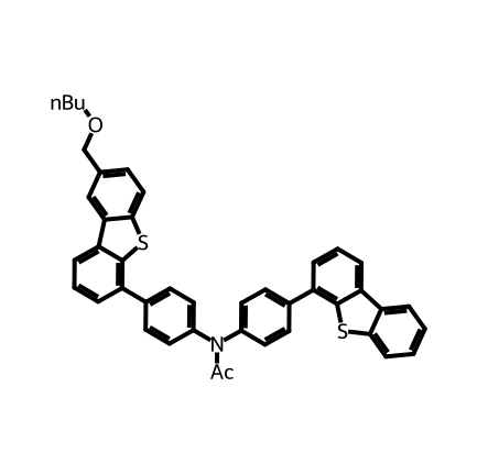 CCCCOCc1ccc2sc3c(-c4ccc(N(C(C)=O)c5ccc(-c6cccc7c6sc6ccccc67)cc5)cc4)cccc3c2c1